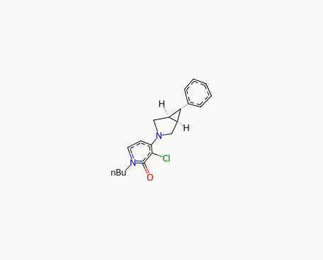 CCCCn1ccc(N2C[C@@H]3[C@H](C2)[C@H]3c2ccccc2)c(Cl)c1=O